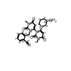 Cn1c(=O)cc(-n2c(N3CCC[C@@H](N)C3)cc(=O)n(C)c2=O)n(Cc2ccccc2C#N)c1=O